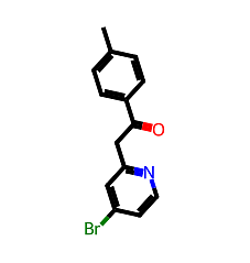 Cc1ccc(C(=O)Cc2cc(Br)ccn2)cc1